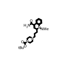 CNN1c2ccccc2C(C(N)=O)=CC1CCCN1CCN(C(=O)OC(C)(C)C)CC1